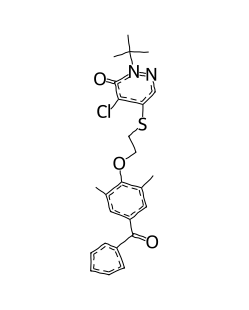 Cc1cc(C(=O)c2ccccc2)cc(C)c1OCCSc1cnn(C(C)(C)C)c(=O)c1Cl